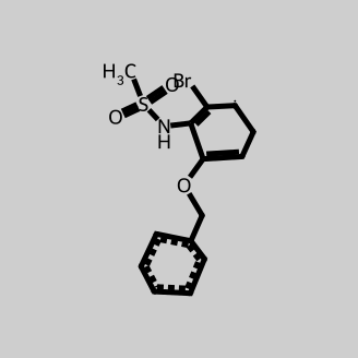 CS(=O)(=O)NC1=C(Br)[CH]CC=C1OCc1ccccc1